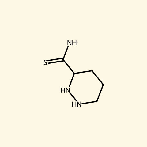 [NH]C(=S)C1CCCNN1